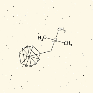 C[Si](C)(C)C[C]12[CH]3[CH]4[CH]5[CH]1[Fe]45321678[CH]2[CH]1[CH]6[CH]7[CH]28